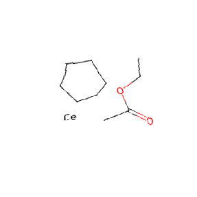 C1CCCCC1.CCOC(C)=O.[Ce]